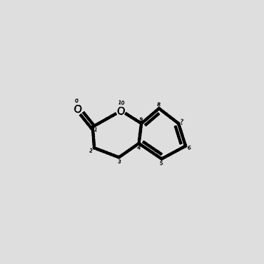 O=C1CCc2cc[c]cc2O1